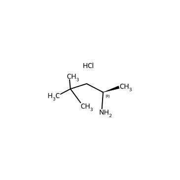 C[C@@H](N)CC(C)(C)C.Cl